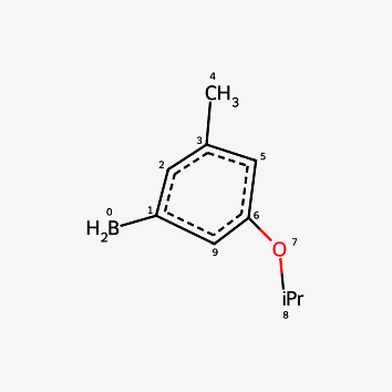 Bc1cc(C)cc(OC(C)C)c1